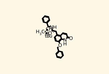 CC(C)(C)[Si](C)(C)OC(Cc1ccc(OCc2ccccc2)c2[nH]c(=O)ccc12)NCc1ccccc1